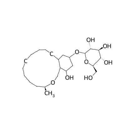 C[C@H]1CCCCCCCCCC2CC(OC3O[C@H](CO)[C@@H](O)[C@H](O)[C@H]3O)CC(O)C2CO1